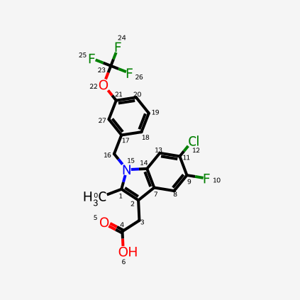 Cc1c(CC(=O)O)c2cc(F)c(Cl)cc2n1Cc1cccc(OC(F)(F)F)c1